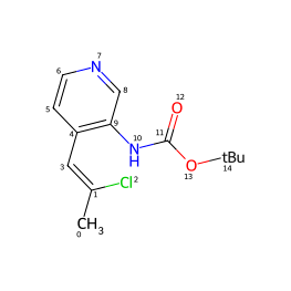 C/C(Cl)=C/c1ccncc1NC(=O)OC(C)(C)C